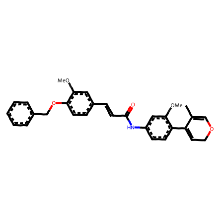 COc1cc(C=CC(=O)Nc2ccc(C3=CCOC=C3C)c(OC)c2)ccc1OCc1ccccc1